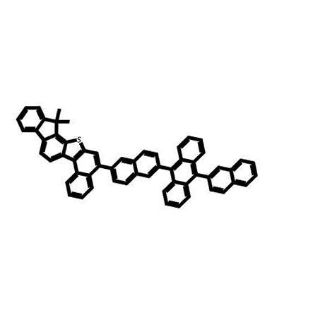 CC1(C)c2ccccc2-c2ccc3c(sc4cc(-c5ccc6cc(-c7c8ccccc8c(-c8ccc9ccccc9c8)c8ccccc78)ccc6c5)c5ccccc5c43)c21